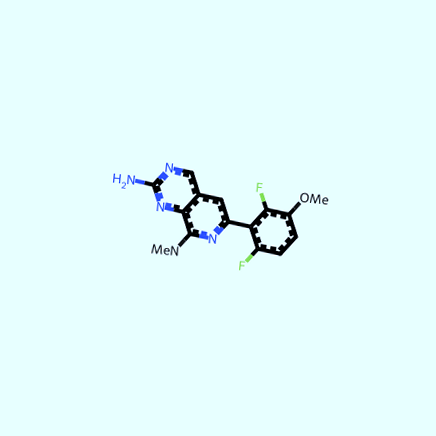 CNc1nc(-c2c(F)ccc(OC)c2F)cc2cnc(N)nc12